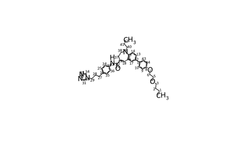 CCCCOCCOc1ccc(-c2ccc3c(c2)C=C(C(=O)Nc2ccc(CCCn4cnnc4)cc2)CCN3CCC)cc1